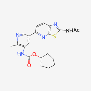 CC(=O)Nc1nc2ccc(-c3cnc(C)c(NC(=O)OC4CCCCC4)c3)nc2s1